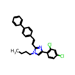 CCCCn1cc(-c2ccc(Cl)cc2Cl)nc1C=Cc1ccc(-c2ccccc2)cc1